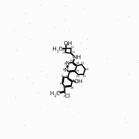 C=C(Cl)c1ccc(-c2nnc(NC3CC(C)(O)C3)c3c2CCCC3)c(O)c1